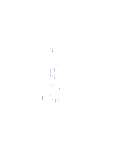 CCCC(C(=O)O)[C@H](Cc1ccc(C#N)cc1)c1nnnn1COCC[Si](C)(C)C